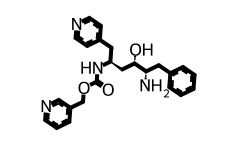 N[C@@H](Cc1ccccc1)[C@@H](O)C[C@H](Cc1ccncc1)NC(=O)OCc1cccnc1